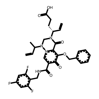 C=CC(C)N1CN([C@@H](C=C)CCC(=O)O)C(=O)c2c(OCc3ccccc3)c(=O)c(C(=O)NCc3c(F)cc(F)cc3F)cn21